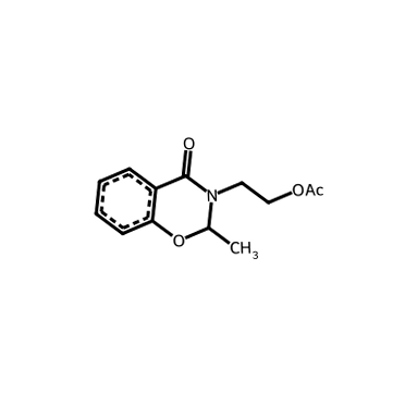 CC(=O)OCCN1C(=O)c2ccccc2OC1C